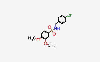 COc1ccc(S(=O)(=O)NCc2ccc(Br)cc2)cc1OC